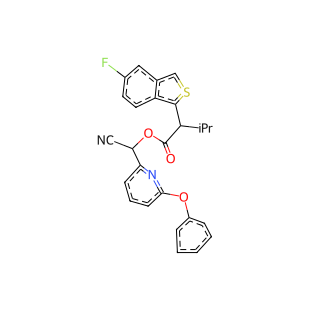 CC(C)C(C(=O)OC(C#N)c1cccc(Oc2ccccc2)n1)c1scc2cc(F)ccc12